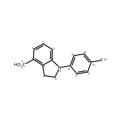 O=C(O)c1cccc2c1CCN2c1ccc(F)cc1